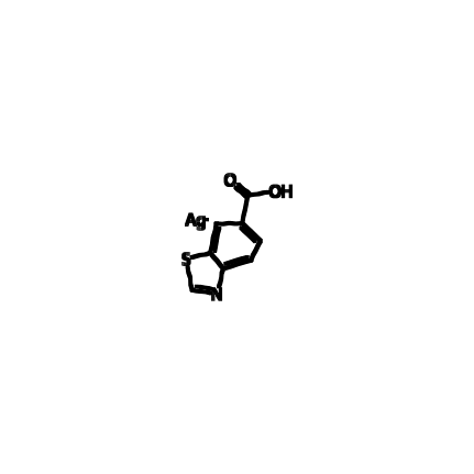 O=C(O)c1ccc2ncsc2c1.[Ag]